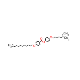 C=CCCCCCCCCCOc1ccc(C(=O)Oc2ccc(OCCCCCC(C)CC)cc2)cc1